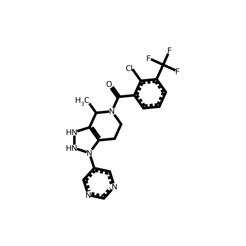 CC1C2=C(CCN1C(=O)c1cccc(C(F)(F)F)c1Cl)N(c1cncnc1)NN2